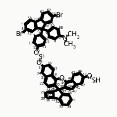 CN(C)c1ccc(C2(c3ccc(OSOc4ccc5c6c(ccc5c4)C4(c5ccccc5-c5ccccc54)c4ccc5cc(OS)ccc5c4O6)cc3)c3cc(Br)ccc3-c3ccc(Br)cc32)cc1